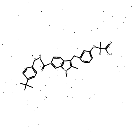 Cc1c(Cc2cccc(OC(C)(C)C(=O)O)c2)c2ccc(C(=O)N[C@@H](C)c3ccc(C(C)(C)C)cc3)cc2n1C